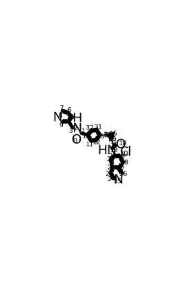 O=C(NCc1cccnc1)c1ccc([C@@H]2C[C@H]2C(=O)Nc2cc3ccncc3cc2Cl)cc1